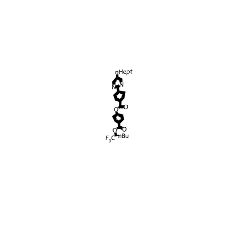 CCCCCCCc1cnc(-c2ccc(C(=O)Oc3ccc(C(=O)O[C@@H](CCCC)C(F)(F)F)cc3)cc2)nc1